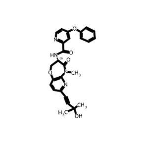 CN1C(=O)[C@@H](NC(=O)c2cc(Oc3ccccc3)ccn2)COc2ccc(C#CC(C)(C)O)nc21